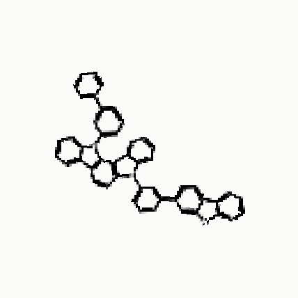 c1ccc(-c2cccc(-n3c4ccccc4c4ccc5c(c6ccccc6n5-c5cccc(-c6ccc7c(c6)oc6ccccc67)c5)c43)c2)cc1